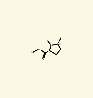 CCOC(=O)[C@@H]1CC[C@H](C)N1C